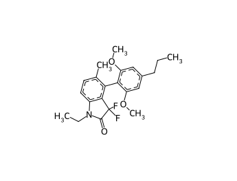 CCCc1cc(OC)c(-c2c(C)ccc3c2C(F)(F)C(=O)N3CC)c(OC)c1